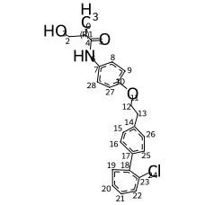 C[C@H](CO)C(=O)Nc1ccc(OCCc2ccc(-c3ccccc3Cl)cc2)cc1